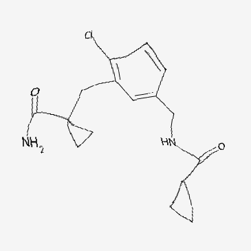 NC(=O)C1(Cc2cc(CNC(=O)C3CC3)ccc2Cl)CC1